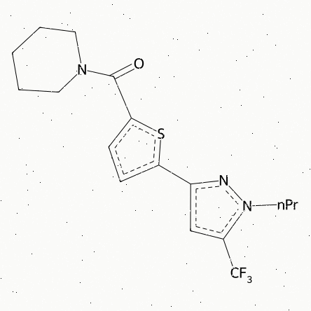 CCCn1nc(-c2ccc(C(=O)N3CCCCC3)s2)cc1C(F)(F)F